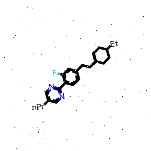 CCCc1cnc(-c2ccc(CCC3CCC(CC)CC3)cc2F)nc1